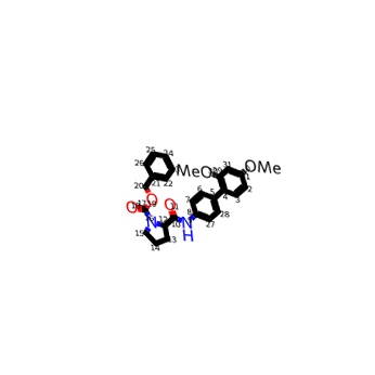 COc1ccc(-c2ccc(NC(=O)C3CCCN3C(=O)OCc3ccccc3)cc2)c(OC)c1